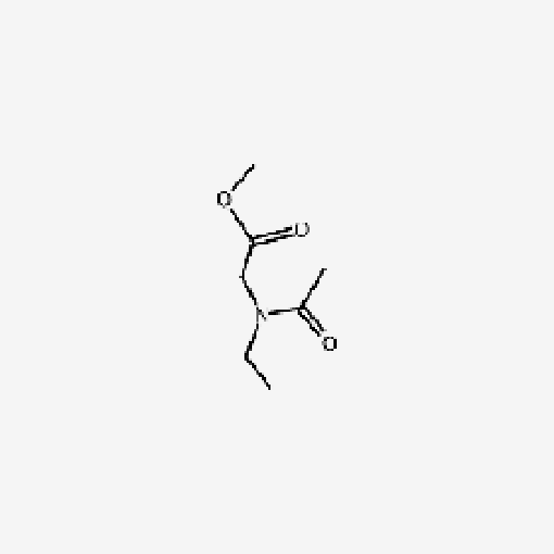 CCN(CC(=O)OC)C(C)=O